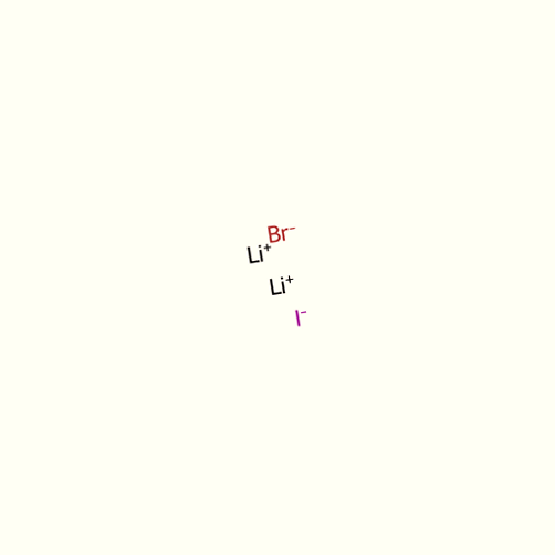 [Br-].[I-].[Li+].[Li+]